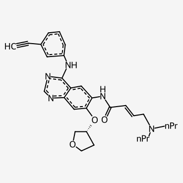 C#Cc1cccc(Nc2ncnc3cc(O[C@@H]4CCOC4)c(NC(=O)/C=C/CN(CCC)CCC)cc23)c1